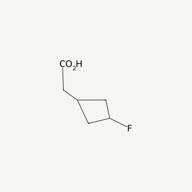 O=C(O)CC1CC(F)C1